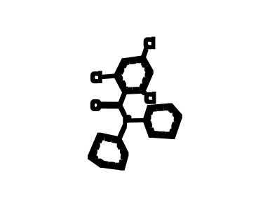 O=C(c1c(Cl)cc(Cl)cc1Cl)P(c1ccccc1)c1ccccc1